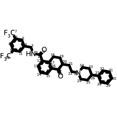 O=C(NCc1cc(C(F)(F)F)cc(C(F)(F)F)c1)c1cccc2c1CCC(CCN1CCC(c3ccccc3)CC1)C2=O